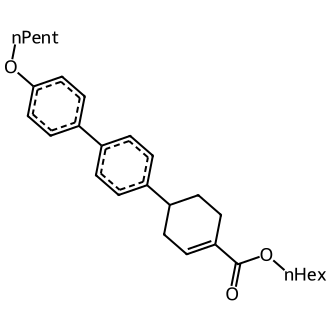 CCCCCCOC(=O)C1=CCC(c2ccc(-c3ccc(OCCCCC)cc3)cc2)CC1